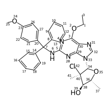 CCOc1nc(NC(c2ccccc2)(c2ccccc2)c2ccc(OC)cc2)nc2c1ncn2[C@@H]1O[C@H](C)[C@@H](O)[C@@]1(C)Cl